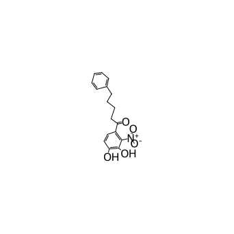 O=C(CCCCc1ccccc1)c1ccc(O)c(O)c1[N+](=O)[O-]